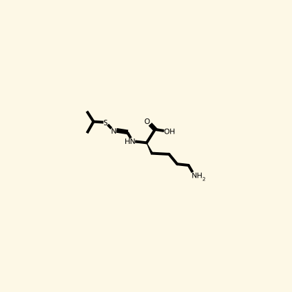 CC(C)SN=CN[C@H](CCCCN)C(=O)O